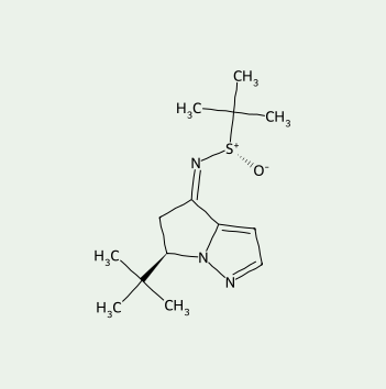 CC(C)(C)[C@H]1C/C(=N/[S@@+]([O-])C(C)(C)C)c2ccnn21